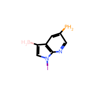 Bc1cn(I)c2ncc(P)cc12